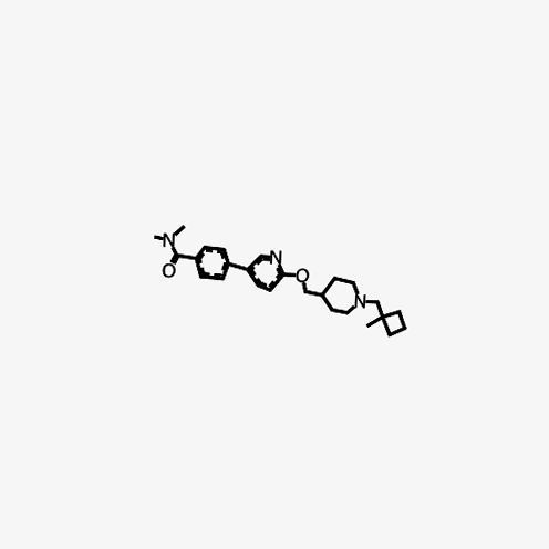 CN(C)C(=O)c1ccc(-c2ccc(OCC3CCN(CC4(C)CCC4)CC3)nc2)cc1